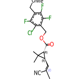 COCc1c(F)c(F)c(COC(=O)[C@@H]2[C@@H](/C=C(/C)C#N)C2(C)C)c(Cl)c1F